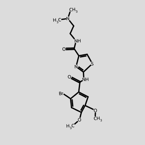 COc1cc(Br)c(C(=O)Nc2nc(C(=O)NCCN(C)C)cs2)cc1OC